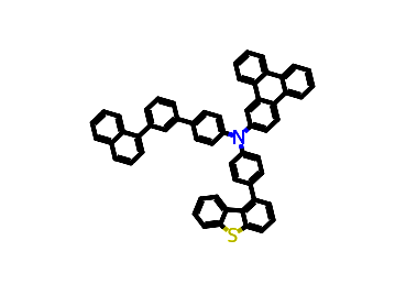 c1cc(-c2ccc(N(c3ccc(-c4cccc5sc6ccccc6c45)cc3)c3ccc4c5ccccc5c5ccccc5c4c3)cc2)cc(-c2cccc3ccccc23)c1